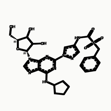 O=C(Nc1cnn(-c2nc(NC3CCCC3)c3ncn([C@@H]4O[C@H](CO)C(O)C4O)c3n2)c1)S(=O)(=O)Cc1ccccc1